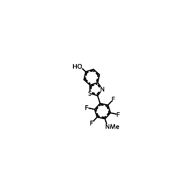 CNc1c(F)c(F)c(-c2nc3ccc(O)cc3s2)c(F)c1F